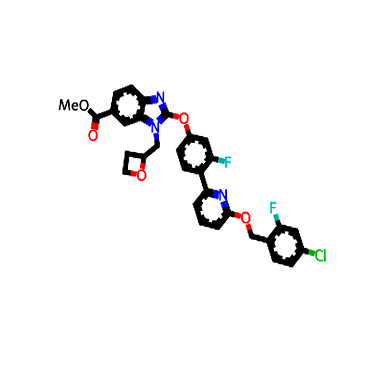 COC(=O)c1ccc2nc(Oc3ccc(-c4cccc(OCc5ccc(Cl)cc5F)n4)c(F)c3)n(CC3CCO3)c2c1